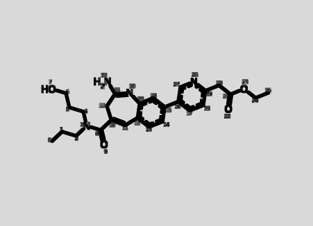 CCCN(CCCO)C(=O)C1=Cc2ccc(-c3ccc(CC(=O)OCC)nc3)cc2N=C(N)C1